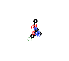 O=C(OCc1ccccc1)N1CCC2=C(C1)C(=O)N(Cc1cccc(Cl)c1)C1=NCCCN12